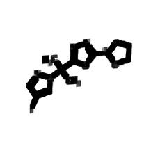 CC(C)(c1nnc([C@H]2CCCO2)o1)n1cc(I)cn1